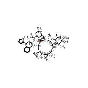 CC[C@H]1OC(=O)[C@H](C)[C@@H](O[C@H]2C[C@@](C)(OC)[C@@H](O)[C@H](C)O2)[C@H](C)[C@@H](O[C@@H]2O[C@H](C)C[C@H](N(C)C[C@H](Cc3ccccc3)NC(=O)c3cccn3C)[C@H]2O)[C@](C)(O)C[C@@H](C)CN(C)[C@H](C)[C@@H](O)[C@]1(C)O